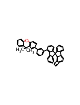 CC1(C)c2ccccc2Oc2ccc(-c3cccc(-c4cccc5c4-c4ccccc4C54c5ccccc5-c5ccc6ccccc6c54)c3)cc21